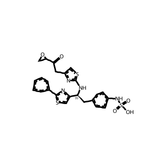 O=C(Cc1csc(N[C@@H](Cc2ccc(NS(=O)(=O)O)cc2)c2csc(-c3ccccc3)n2)n1)C1CO1